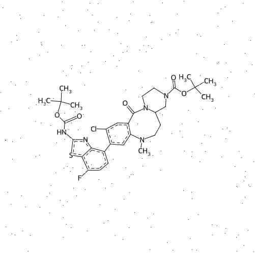 CN1CCC2CN(C(=O)OC(C)(C)C)CCN2C(=O)c2cc(Cl)c(-c3ccc(F)c4sc(NC(=O)OC(C)(C)C)nc34)cc21